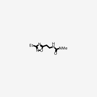 CCc1noc(CCNC(=O)NC)n1